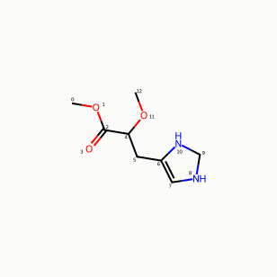 COC(=O)C(CC1=CNCN1)OC